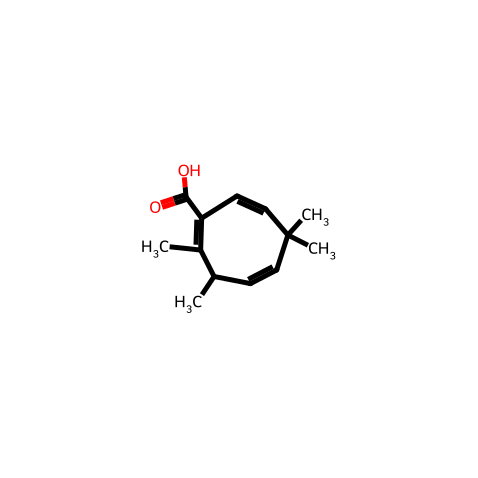 C/C1=C(C(=O)O)/C=C\C(C)(C)/C=C\C1C